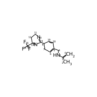 C=C(C)NCC1=CCC(C2=NCCC(C(F)(F)F)=N2)C=C1